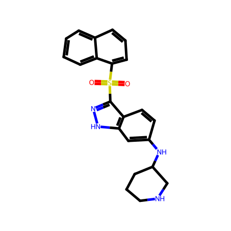 O=S(=O)(c1cccc2ccccc12)c1n[nH]c2cc(NC3CCCNC3)ccc12